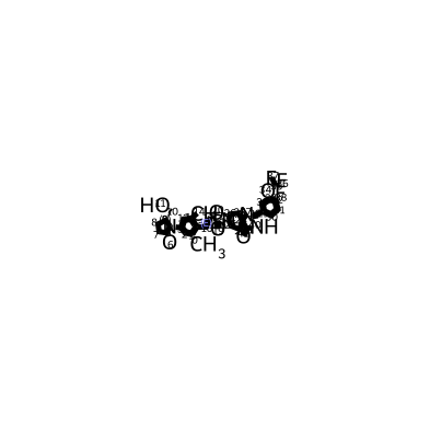 Cc1cc(N2C(=O)CC[C@@H]2CO)cc(C)c1/C=C/S(=O)(=O)N1CCC2(CC1)N=C(c1cccc(OC(F)(F)F)c1)NC2=O